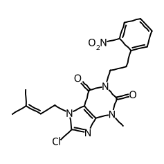 CC(C)=CCn1c(Cl)nc2c1c(=O)n(CCc1ccccc1[N+](=O)[O-])c(=O)n2C